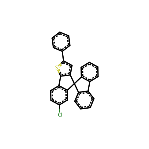 Clc1ccc2c(c1)C1(c3ccccc3-c3ccccc31)c1cc(-c3ccccc3)sc1-2